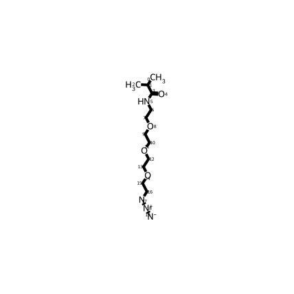 CC(C)C(=O)NCCOCCOCCOCCN=[N+]=[N-]